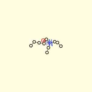 c1ccc(-c2ccc(-c3nc(-c4ccc5ccc(-c6ccccc6)cc5c4)nc(-c4cccc5oc6c(-c7ccc(-c8cccc(-c9ccccc9)c8)cc7)cccc6c45)n3)cc2)cc1